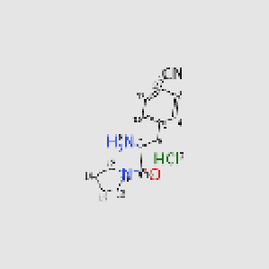 Cl.N#Cc1ccc(CC(N)C(=O)N2CCCC2)cc1